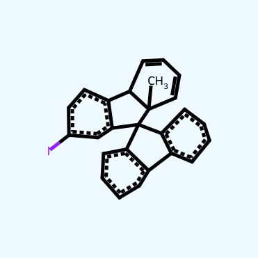 CC12C=CC=CC1c1ccc(I)cc1C21c2ccccc2-c2ccccc21